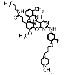 CCCNC(=O)CCc1ccc(Oc2nc(Nc3ccc(OCCCN4CCN(C)CC4)c(F)c3)ncc2C(=O)Nc2c(C)cccc2C)c(OC)c1